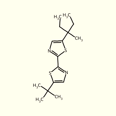 CCC(C)(CC)c1cnc(-c2ncc(C(C)(C)C)s2)s1